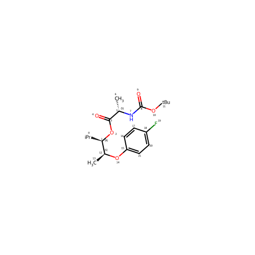 CC(C)[C@@H](OC(=O)[C@H](C)NC(=O)OC(C)(C)C)[C@H](C)Oc1ccc(F)cc1